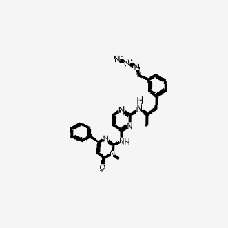 CC(Cc1cccc(CN=[N+]=[N-])c1)Nc1nccc(Nc2nc(-c3ccccc3)cc(=O)n2C)n1